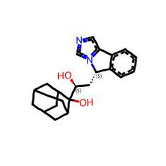 O[C@@H](C[C@H]1c2ccccc2-c2cncn21)C1(O)C2CC3CC(C2)CC1C3